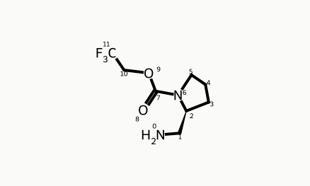 NC[C@@H]1CCCN1C(=O)OCC(F)(F)F